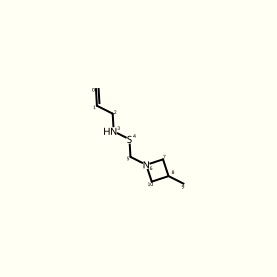 C=CCNSCN1CC(C)C1